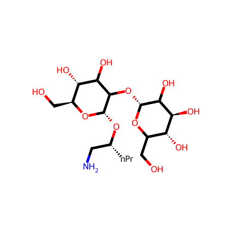 CCC[C@H](CN)O[C@@H]1O[C@@H](CO)[C@H](O)C(O)C1O[C@H]1OC(CO)[C@@H](O)[C@H](O)C1O